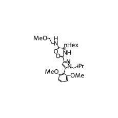 CCCCCC[C@H](NC(=O)c1cc(-c2c(OC)cccc2OC)n(CC(C)C)n1)C(=O)NCCOC